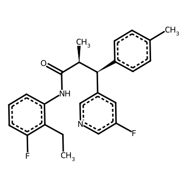 CCc1c(F)cccc1NC(=O)[C@@H](C)[C@@H](c1ccc(C)cc1)c1cncc(F)c1